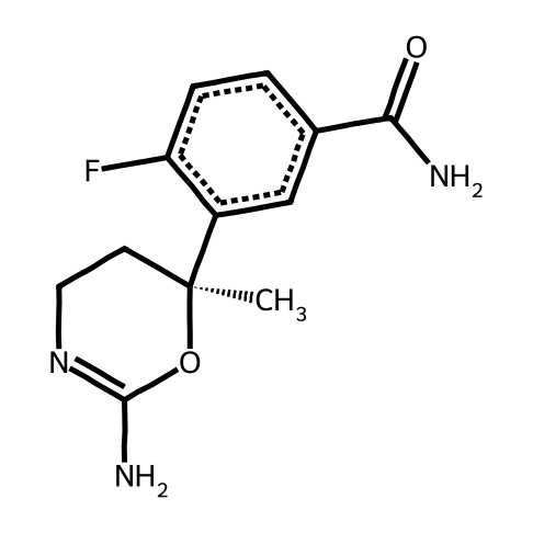 C[C@@]1(c2cc(C(N)=O)ccc2F)CCN=C(N)O1